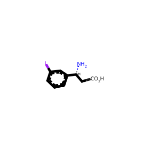 N[C@H](CC(=O)O)c1cccc(I)c1